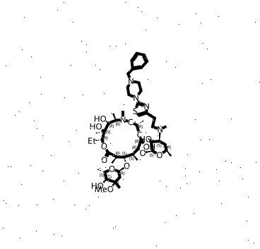 CC[C@H]1OC(=O)[C@H](C)[C@@H](O[C@H]2C[C@@](C)(OC)[C@@H](O)[C@H](C)O2)[C@H](C)[C@@H](O[C@@H]2O[C@H](C)C[C@H](N(C)CCc3csc(N4CCN(Cc5ccccc5)CC4)n3)[C@H]2O)[C@](C)(O)C[C@@H](C)CN(C)[C@H](C)[C@@H](O)[C@]1(C)O